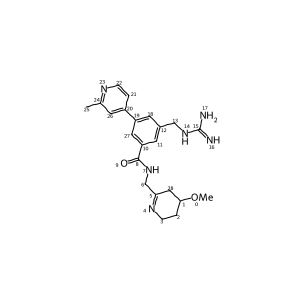 COC1CCN=C(CNC(=O)c2cc(CNC(=N)N)cc(-c3ccnc(C)c3)c2)C1